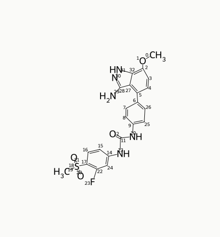 COc1ccc(-c2ccc(NC(=O)Nc3ccc(S(C)(=O)=O)c(F)c3)cc2)c2c(N)n[nH]c12